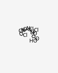 O=C(O)c1ccc(CN(C(=O)C(Cl)Cl)c2ccnc(-c3cc(-c4c(Cl)cccc4Cl)no3)c2)cc1